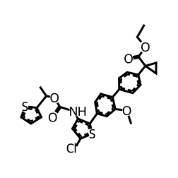 CCOC(=O)C1(c2ccc(-c3ccc(-c4sc(Cl)cc4NC(=O)OC(C)c4cccs4)cc3OC)cc2)CC1